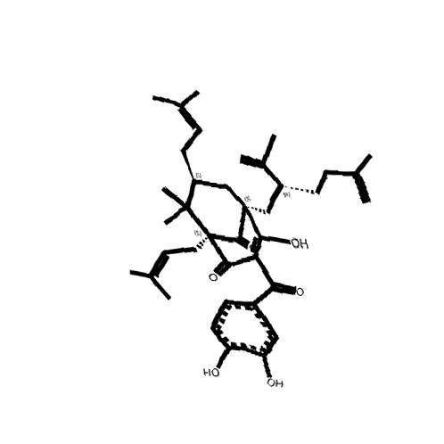 C=C(C)CC[C@H](C[C@]12C[C@H](CC=C(C)C)C(C)(C)[C@](CC=C(C)C)(C(=O)C(C(=O)c3ccc(O)c(O)c3)=C1O)C2=O)C(=C)C